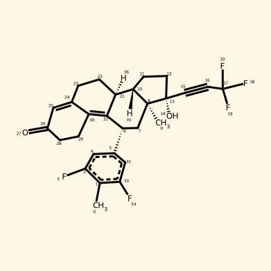 Cc1c(F)cc([C@H]2C[C@@]3(C)[C@@H](CC[C@@]3(O)C#CC(F)(F)F)[C@@H]3CCC4=CC(=O)CCC4=C32)cc1F